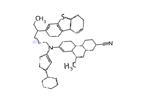 CCC(/C=C\CN(C1=CC(C2CCCCC2)CC1)C1=CC2C(C)CC3CC(C#N)CCC3C2CC1)C1=CC2=C(CC1)C1C=CCCC1S2